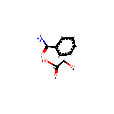 NC(=O)c1ccccc1.O=C(O)CO